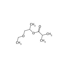 CCOCC(C)OC(=O)C(C)C